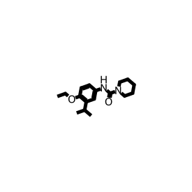 CCOc1ccc(NC(=O)N2CCCCC2)cc1C(C)C